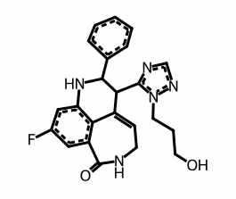 O=C1NCC=C2c3c(cc(F)cc31)NC(c1ccccc1)C2c1ncnn1CCCO